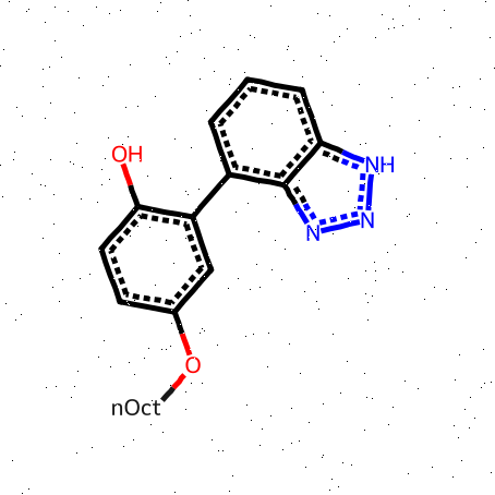 CCCCCCCCOc1ccc(O)c(-c2cccc3[nH]nnc23)c1